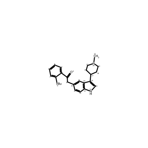 CCCCc1ccccc1C(=O)Cc1ccc2[nH]cc(C3CCN(C)CC3)c2c1